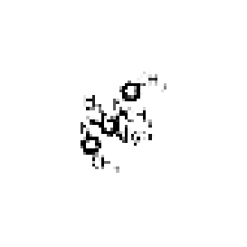 CC(=Nc1ccc(C)cc1)c1cccc(C(C)=Nc2ccc(C)cc2)n1.[Cl-].[Cl-].[V+2]